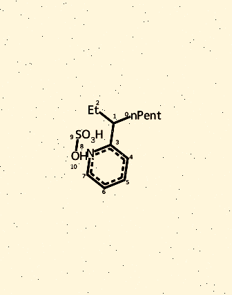 CCCCCC(CC)c1ccccn1.O=S(=O)(O)O